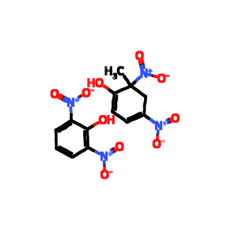 CC1([N+](=O)[O-])CC([N+](=O)[O-])=CC=C1O.O=[N+]([O-])c1cccc([N+](=O)[O-])c1O